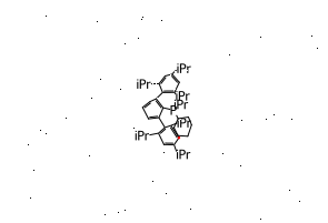 CC(C)c1cc(C(C)C)c(-c2cccc(-c3c(C(C)C)cc(C(C)C)cc3C(C)C)c2P(C(C)C)C2CCCCC2)c(C(C)C)c1